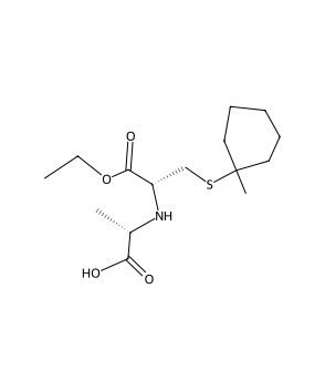 CCOC(=O)[C@H](CSC1(C)CCCCC1)N[C@@H](C)C(=O)O